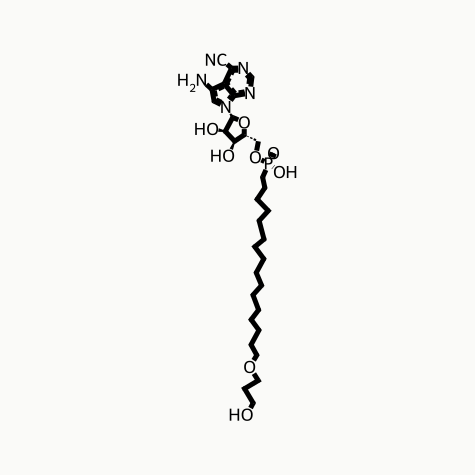 N#Cc1ncnc2c1c(N)cn2[C@@H]1O[C@H](COP(=O)(O)CCCCCCCCCCCCCCCCOCCCO)[C@@H](O)[C@H]1O